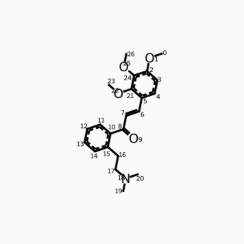 COc1ccc(C=CC(=O)c2ccccc2CCN(C)C)c(OC)c1OC